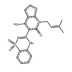 CC(C)=CCn1c(=O)c(C2=NS(=O)(=O)c3ccccc3N2)c(O)c2ccsc21